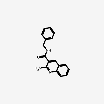 Nc1nc2ccccc2cc1C(=O)NCc1ccccc1